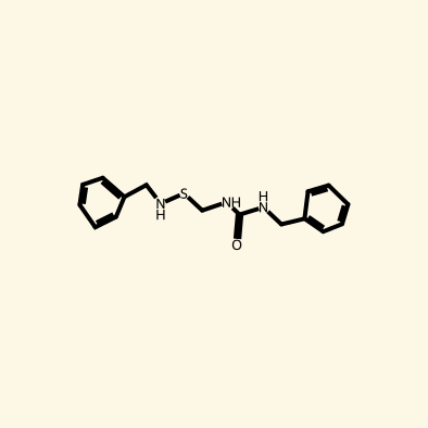 O=C(NCSNCc1ccccc1)NCc1ccccc1